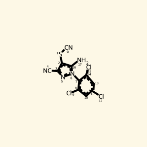 N#CSc1c(C#N)nn(-c2c(Cl)cc(Cl)cc2Cl)c1N